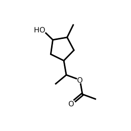 CC(=O)OC(C)C1CC(C)C(O)C1